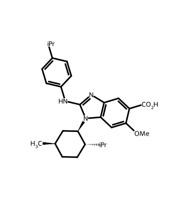 COc1cc2c(cc1C(=O)O)nc(Nc1ccc(C(C)C)cc1)n2[C@@H]1C[C@H](C)CC[C@H]1C(C)C